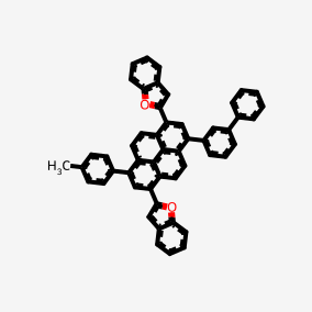 Cc1ccc(-c2cc(-c3cc4ccccc4o3)c3ccc4c(-c5cccc(-c6ccccc6)c5)cc(-c5cc6ccccc6o5)c5ccc2c3c45)cc1